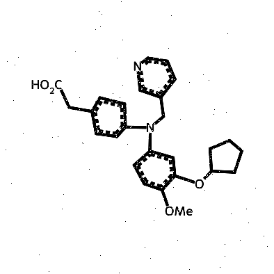 COc1ccc(N(Cc2cccnc2)c2ccc(CC(=O)O)cc2)cc1OC1CCCC1